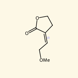 COC/C=C1/CCOC1=O